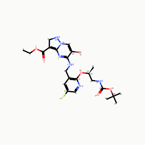 CCOC(=O)C1=C2N=C(NCc3cc(F)cnc3O[C@@H](C)CNC(=O)OC(C)(C)C)C(Br)=CN2NC1